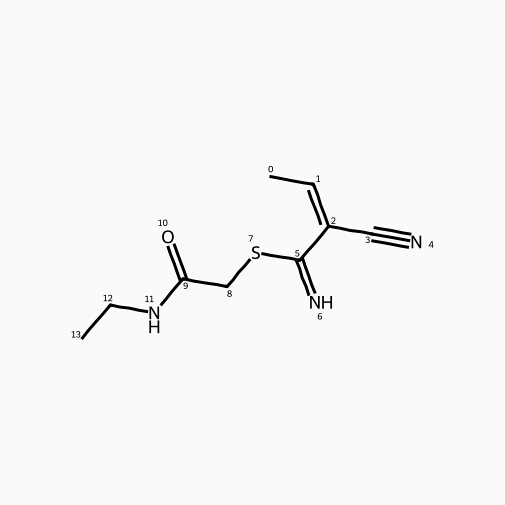 C/C=C(/C#N)C(=N)SCC(=O)NCC